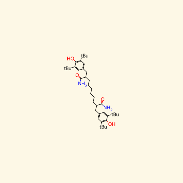 CC(C)(C)c1cc(CC(CCCCCCC(Cc2cc(C(C)(C)C)c(O)c(C(C)(C)C)c2)C(N)=O)C(N)=O)cc(C(C)(C)C)c1O